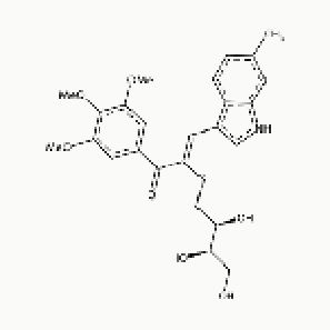 COc1cc(C(=O)C(=Cc2c[nH]c3cc(C)ccc23)SC[C@@H](O)[C@H](O)CO)cc(OC)c1OC